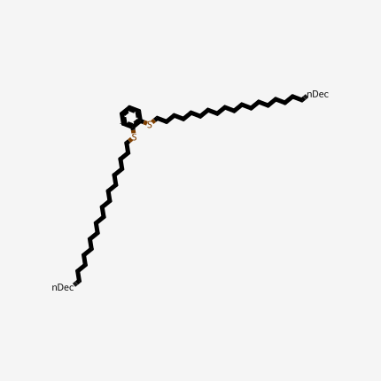 CCCCCCCCCCCCCCCCCCCCCCCCCCCCSc1[c]cccc1SCCCCCCCCCCCCCCCCCCCCCCCCCCCC